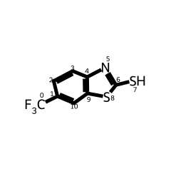 FC(F)(F)c1ccc2nc(S)sc2c1